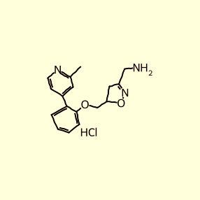 Cc1cc(-c2ccccc2OCC2CC(CN)=NO2)ccn1.Cl